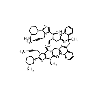 CC#CCn1c(C(=O)N(C=O)CC2=NC(C)(Cc3nc(Cn4c(=O)c5c(nc(N6CCC[C@@H](N)C6)n5CC#CC)n(C)c4=O)nc4ccccc34)c3ccccc3N2)cnc1N1CCC[C@@H](N)C1